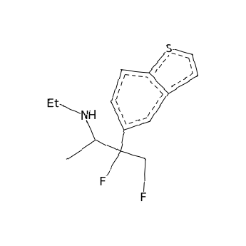 CCNC(C)C(F)(CF)c1ccc2sccc2c1